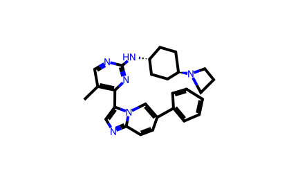 Cc1cnc(N[C@H]2CC[C@H](N3CCC3)CC2)nc1-c1cnc2ccc(-c3ccccc3)cn12